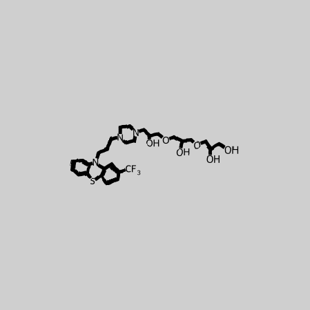 OCC(O)COCC(O)COCC(O)CN1CCN(CCCN2c3ccccc3Sc3ccc(C(F)(F)F)cc32)CC1